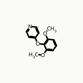 COc1cccc(OC)c1Oc1c[c]ncc1